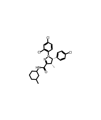 CC1CCCC(NC(=O)C2=NN(c3ccc(Cl)cc3Cl)[C@H](c3ccc(Cl)cc3)[C@@H]2C)C1